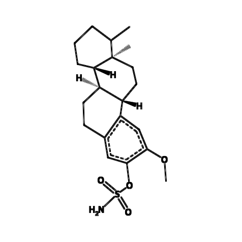 COc1cc2c(cc1OS(N)(=O)=O)CC[C@@H]1[C@@H]2CC[C@]2(C)C(C)CCC[C@@H]12